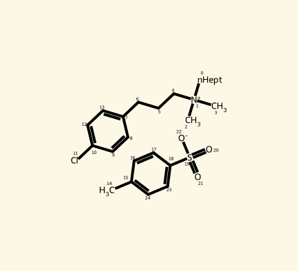 CCCCCCC[N+](C)(C)CCCc1ccc(Cl)cc1.Cc1ccc(S(=O)(=O)[O-])cc1